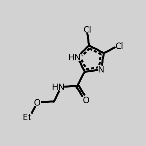 CCOCNC(=O)c1nc(Cl)c(Cl)[nH]1